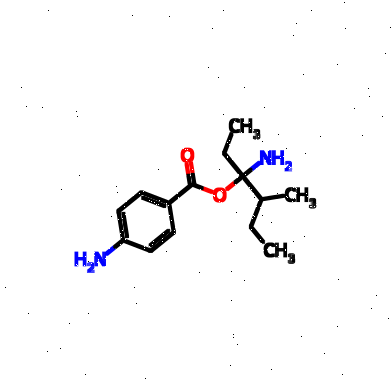 CCC(C)C(N)(CC)OC(=O)c1ccc(N)cc1